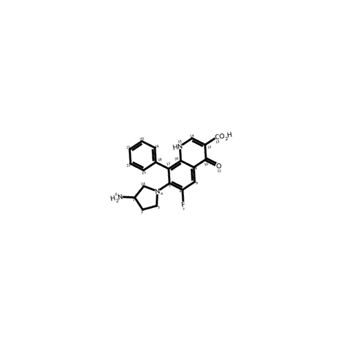 NC1CCN(c2c(F)cc3c(=O)c(C(=O)O)c[nH]c3c2-c2ccccc2)C1